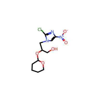 O=[N+]([O-])c1cn(CC(CO)OC2CCCCO2)c(Cl)n1